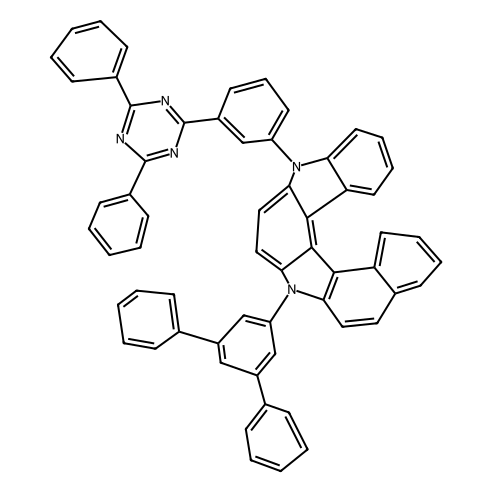 c1ccc(-c2cc(-c3ccccc3)cc(-n3c4ccc5ccccc5c4c4c5c6ccccc6n(-c6cccc(-c7nc(-c8ccccc8)nc(-c8ccccc8)n7)c6)c5ccc43)c2)cc1